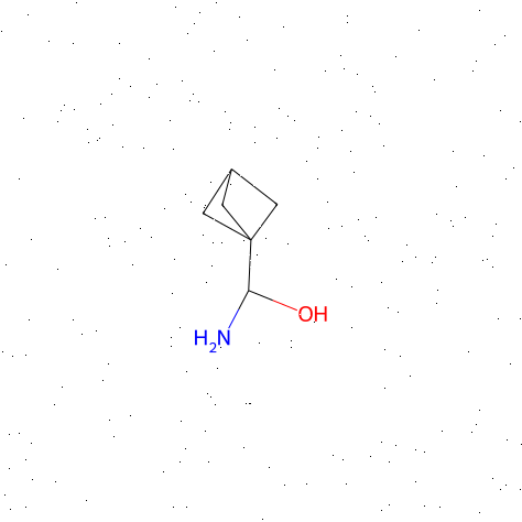 NC(O)C12CC(C1)C2